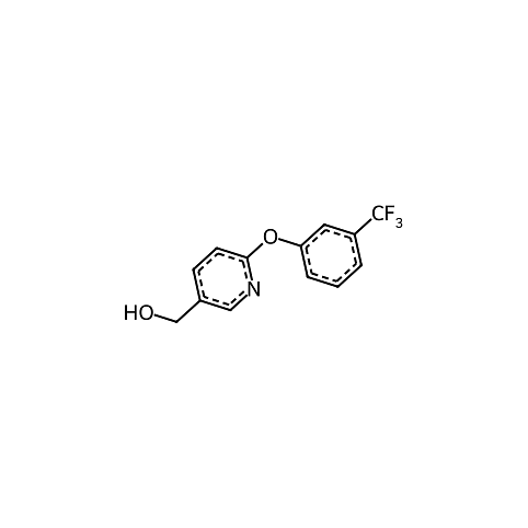 OCc1ccc(Oc2cccc(C(F)(F)F)c2)nc1